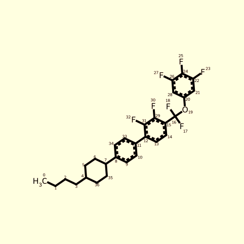 CCCCC1CCC(c2ccc(-c3ccc(C(F)(F)Oc4cc(F)c(F)c(F)c4)c(F)c3F)cc2)CC1